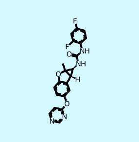 CC12Oc3ccc(Oc4ccncn4)cc3[C@H]1[C@@H]2NC(=O)Nc1ccc(F)cc1F